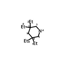 CCC1(CC)C[N]CC(CC)(CC)C1